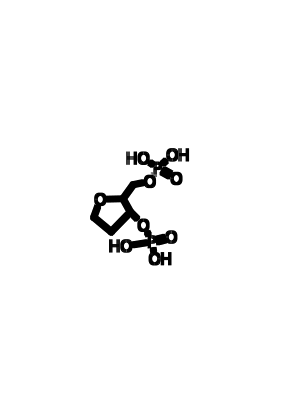 O=P(O)(O)OCC1OCCC1OP(=O)(O)O